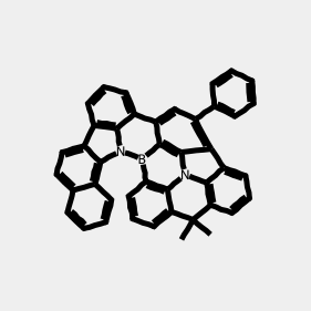 CC1(C)c2cccc3c2-n2c4c1cccc4c1c(-c4ccccc4)cc4c(c12)B3n1c2c-4cccc2c2ccc3ccccc3c21